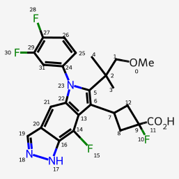 COCC(C)(C)c1c(C2CC(F)(C(=O)O)C2)c2c(F)c3[nH]ncc3cc2n1-c1ccc(F)c(F)c1